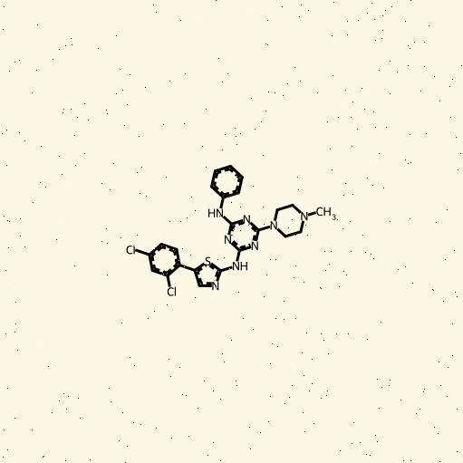 CN1CCN(c2nc(Nc3ccccc3)nc(Nc3ncc(-c4ccc(Cl)cc4Cl)s3)n2)CC1